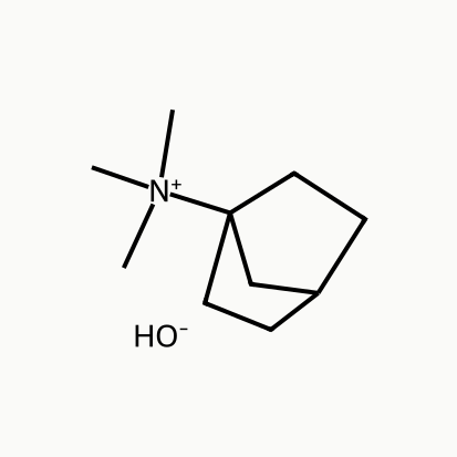 C[N+](C)(C)C12CCC(CC1)C2.[OH-]